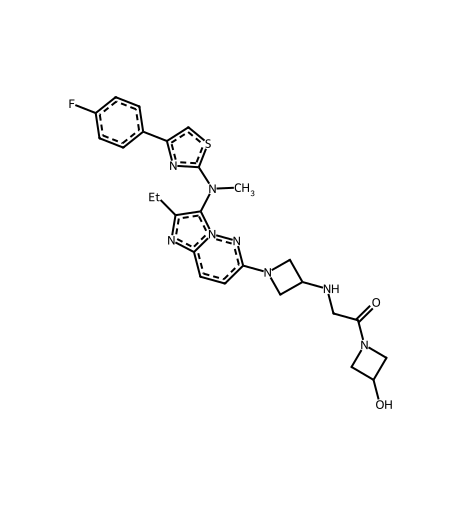 CCc1nc2ccc(N3CC(NCC(=O)N4CC(O)C4)C3)nn2c1N(C)c1nc(-c2ccc(F)cc2)cs1